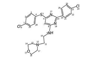 Clc1ccc(Sc2cc(NCCN3CCOCC3)nc(-c3ccc(Cl)cc3)n2)cc1